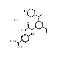 CCc1cc(C(Nc2ccc(C(=N)N)cc2)C(=O)O)cc(N(C)C2CCNCC2)c1.Cl